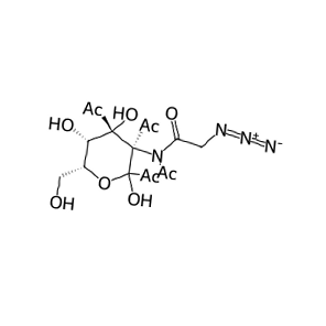 CC(=O)N(C(=O)CN=[N+]=[N-])[C@@]1(C(C)=O)C(O)(C(C)=O)O[C@H](CO)[C@H](O)[C@@]1(O)C(C)=O